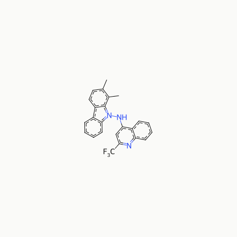 Cc1ccc2c3ccccc3n(Nc3cc(C(F)(F)F)nc4ccccc34)c2c1C